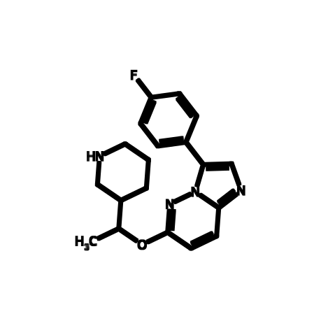 CC(Oc1ccc2ncc(-c3ccc(F)cc3)n2n1)C1CCCNC1